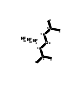 CN(C)SOSN(C)C.F.F.F